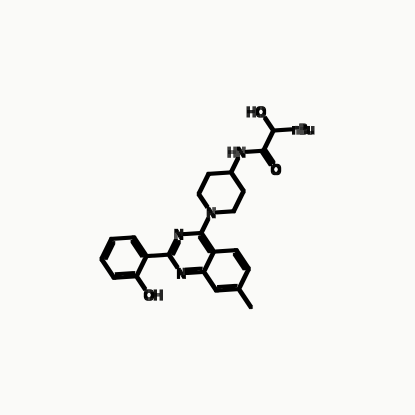 CCCCC(O)C(=O)NC1CCN(c2nc(-c3ccccc3O)nc3cc(C)ccc23)CC1